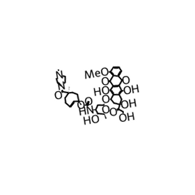 COc1cccc2c1C(=O)c1c(O)c3c(c(O)c1C2=O)C[C@@](O)(C(=O)CO)C[C@@H]3O[C@H]1C[C@H](NC(=O)O[C@H]2/C=C/CC[C@@](C)(C(=O)N3CCN(C)CC3)CC2)[C@H](O)[C@H](C)O1